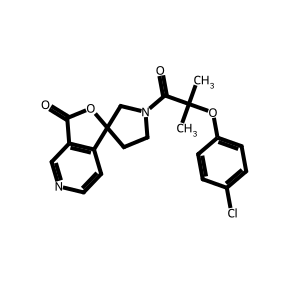 CC(C)(Oc1ccc(Cl)cc1)C(=O)N1CCC2(C1)OC(=O)c1cnccc12